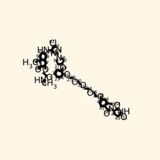 CNC(=O)COc1cc2cc(Nc3nc(N4CCC(Oc5ccccc5OCCOCCOCCOCCOc5ccc6c(c5)CN(C5CCC(=O)NC5=O)C6=O)CC4)ncc3Cl)ccc2n(C)c1=O